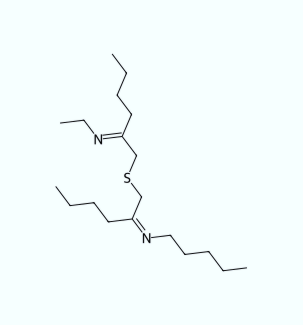 CCCCCN=C(CCCC)CSCC(CCCC)=NCC